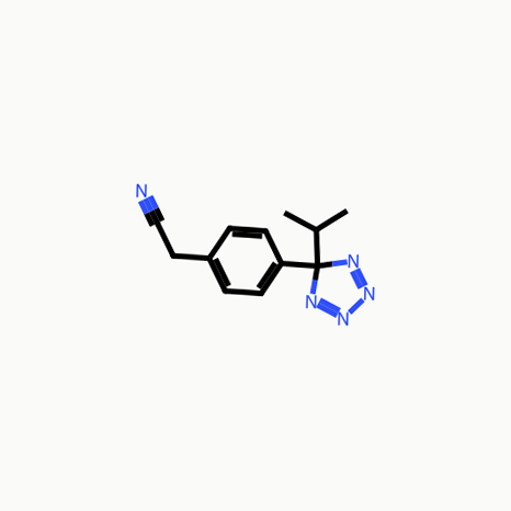 CC(C)C1(c2ccc(CC#N)cc2)N=NN=N1